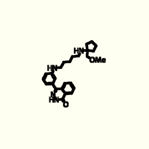 COCC1(NCCCCCNc2cccc(-c3n[nH]c(=O)c4ccccc34)c2)CCCC1